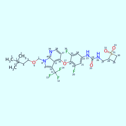 C[Si](C)(C)CCOCn1cc(C(F)(F)F)c2c(Oc3c(F)cc(NC(=O)NCC4CCS4(=O)=O)cc3F)ccnc21